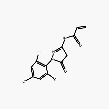 C=CC(=O)NC1=NN(c2c(Cl)cc(Cl)cc2Cl)C(=O)C1